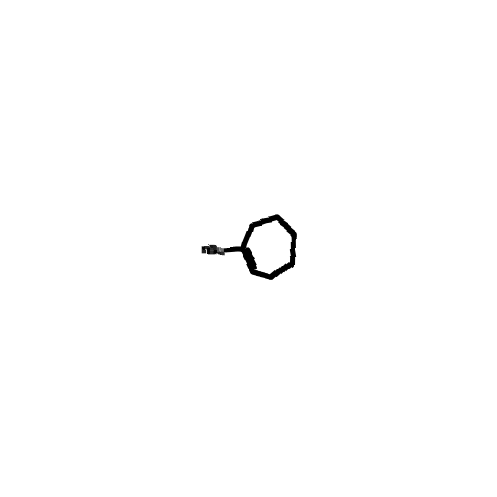 C[CH]CCC1=CCCCCC1